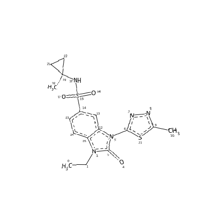 CCn1c(=O)n(-c2nnc(C)s2)c2cc(S(=O)(=O)NC3(C)CC3)ccc21